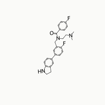 CN(C)CCN(Cc1cc(-c2ccc3c(c2)CCN3)ccc1F)C(=O)c1ccc(F)cc1